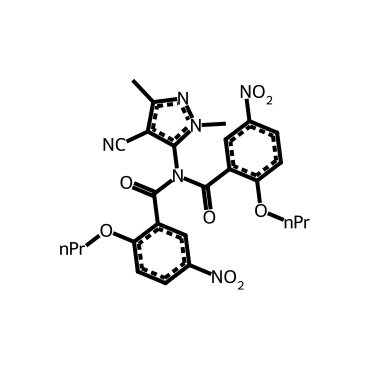 CCCOc1ccc([N+](=O)[O-])cc1C(=O)N(C(=O)c1cc([N+](=O)[O-])ccc1OCCC)c1c(C#N)c(C)nn1C